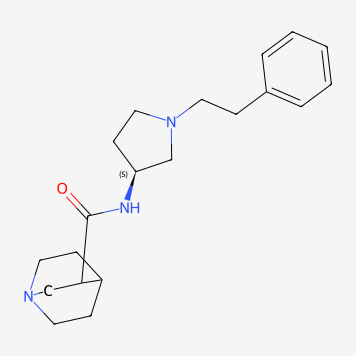 O=C(N[C@H]1CCN(CCc2ccccc2)C1)C1CN2CCC1CC2